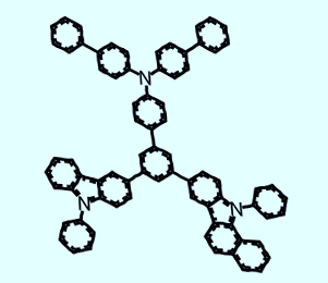 c1ccc(-c2ccc(N(c3ccc(-c4ccccc4)cc3)c3ccc(-c4cc(-c5ccc6c(c5)c5ccccc5n6-c5ccccc5)cc(-c5ccc6c(c5)c5ccc7ccccc7c5n6-c5ccccc5)c4)cc3)cc2)cc1